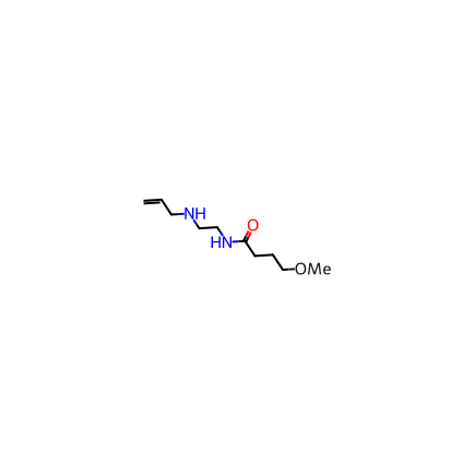 C=CCNCCNC(=O)CCCOC